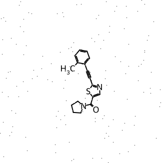 Cc1ccccc1C#Cc1ncc(C(=O)N2CCCC2)s1